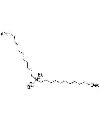 CCCCCCCCCCCCCCCCCCCC[N+](CC)(CC)CCCCCCCCCCCCCCCCCCCC.[Br-]